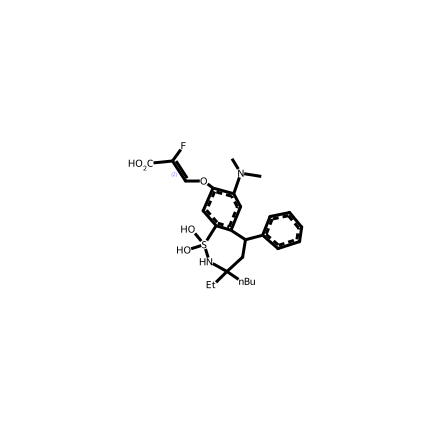 CCCCC1(CC)CC(c2ccccc2)c2cc(N(C)C)c(O/C=C(\F)C(=O)O)cc2S(O)(O)N1